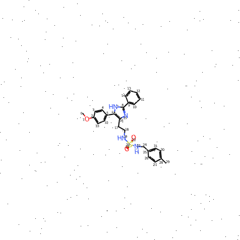 COc1ccc(-c2[nH]c(-c3ccccc3)nc2CCNS(=O)(=O)NCc2ccc(C)cc2)cc1